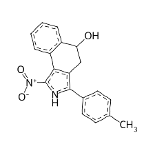 Cc1ccc(-c2[nH]c([N+](=O)[O-])c3c2CC(O)c2ccccc2-3)cc1